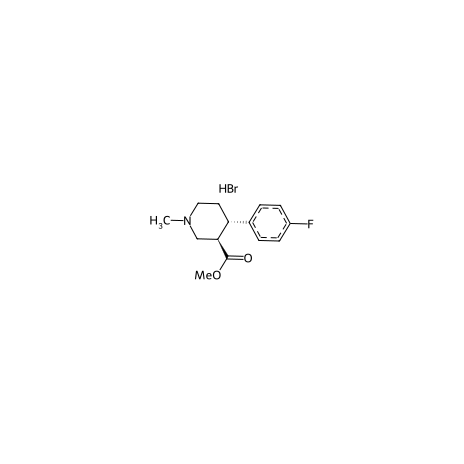 Br.COC(=O)[C@H]1CN(C)CC[C@@H]1c1ccc(F)cc1